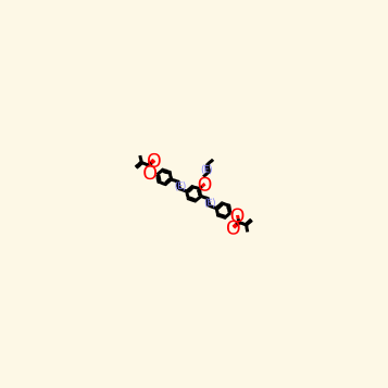 C=C(C)C(=O)Oc1ccc(/C=C/c2ccc(/C=C/c3ccc(OC(=O)C(=C)C)cc3)c(OC/C=C/C)c2)cc1